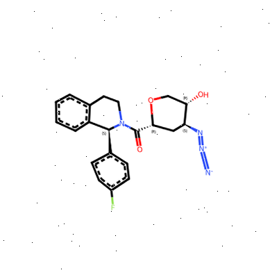 [N-]=[N+]=N[C@H]1C[C@H](C(=O)N2CCc3ccccc3[C@@H]2c2ccc(F)cc2)OC[C@@H]1O